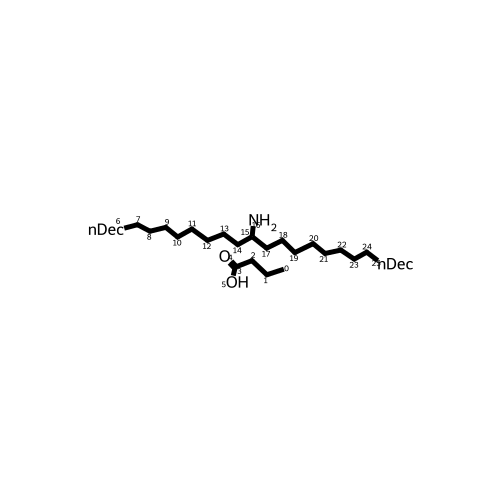 CCCC(=O)O.CCCCCCCCCCCCCCCCCCC(N)CCCCCCCCCCCCCCCCCC